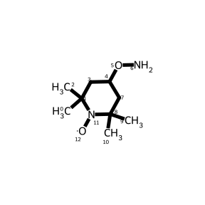 CC1(C)CC(ON)CC(C)(C)N1[O]